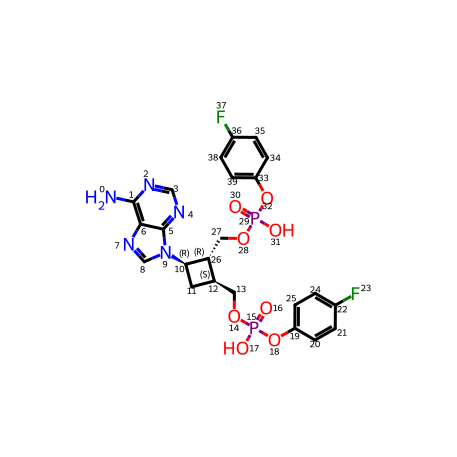 Nc1ncnc2c1ncn2[C@@H]1C[C@H](COP(=O)(O)Oc2ccc(F)cc2)[C@H]1COP(=O)(O)Oc1ccc(F)cc1